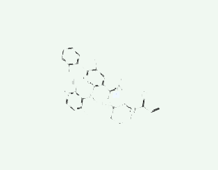 C=CC(=O)N1CCCC(O/C(=N/C)c2cc(Cl)c(-c3ccccc3F)nc2N(C=O)c2c(C)ccnc2C(C)C)C1